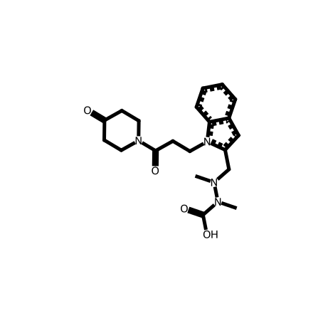 CN(Cc1cc2ccccc2n1CCC(=O)N1CCC(=O)CC1)N(C)C(=O)O